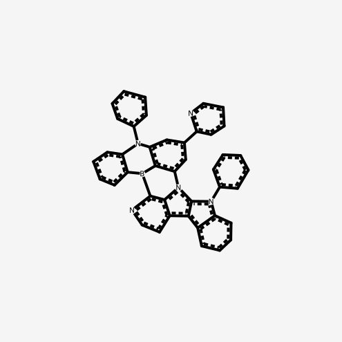 c1ccc(N2c3ccccc3B3c4c2cc(-c2ccccn2)cc4-n2c4c3nccc4c3c4ccccc4n(-c4ccccc4)c32)cc1